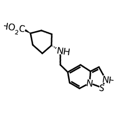 O=C(O)[C@H]1CC[C@H](NCC2=CC3=CNSN3C=C2)CC1